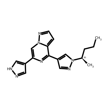 CCC[C@@H](C)n1cc(-c2nc(-c3cn[nH]c3)cn3nccc23)cn1